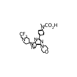 CN(C(=O)O)c1ccc(-c2nc(N3CCOCC3)c3cnn(C4CCN(CC(F)(F)F)CC4)c3n2)cc1